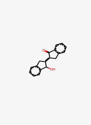 O=C1/C(=C2\Cc3ccccc3C2O)Cc2ccccc21